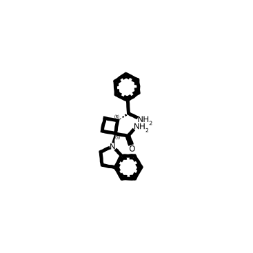 NC(=O)[C@]1(N2CCc3ccccc32)CC[C@@H]1C(N)c1ccccc1